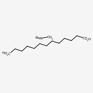 CNC.O=C(O)CCCCCCCCCCCC(=O)O